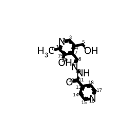 Cc1ncc(CO)c(C=NNC(=O)c2ccncc2)c1O